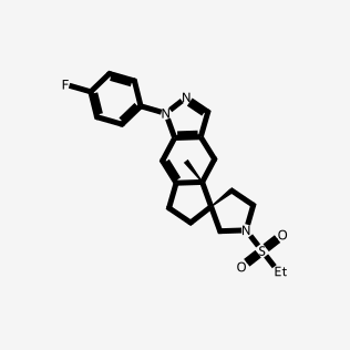 CCS(=O)(=O)N1CC[C@]2(CCC3=Cc4c(cnn4-c4ccc(F)cc4)C[C@@]32C)C1